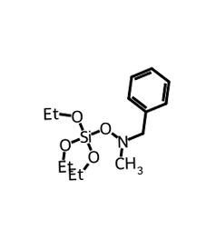 CCO[Si](OCC)(OCC)ON(C)Cc1ccccc1